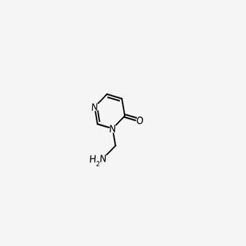 NCn1cnccc1=O